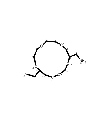 NCC1COCCOCCOC(CN)COCCO1